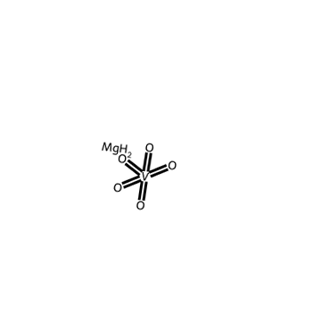 [MgH2].[O]=[V](=[O])(=[O])(=[O])=[O]